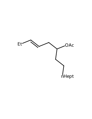 CCC=CCC(CCCCCCCCC)OC(C)=O